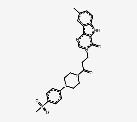 Cc1ccc2[nH]c3c(=O)n(CCC(=O)N4CCN(c5ccc(S(C)(=O)=O)cc5)CC4)cnc3c2c1